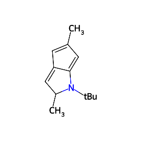 CC1=CC2=CC(C)N(C(C)(C)C)C2=C1